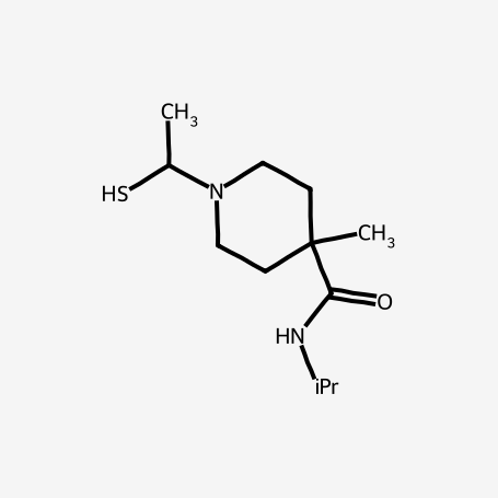 CC(C)NC(=O)C1(C)CCN(C(C)S)CC1